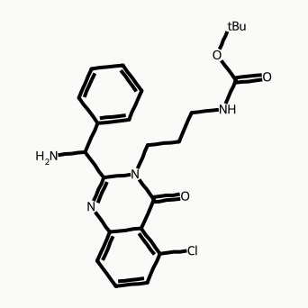 CC(C)(C)OC(=O)NCCCn1c(C(N)c2ccccc2)nc2cccc(Cl)c2c1=O